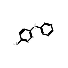 Nc1c#cc(Nc2ccccc2)cc1